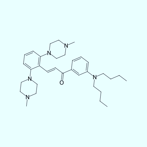 CCCCN(CCCC)c1cccc(C(=O)C=Cc2c(N3CCN(C)CC3)cccc2N2CCN(C)CC2)c1